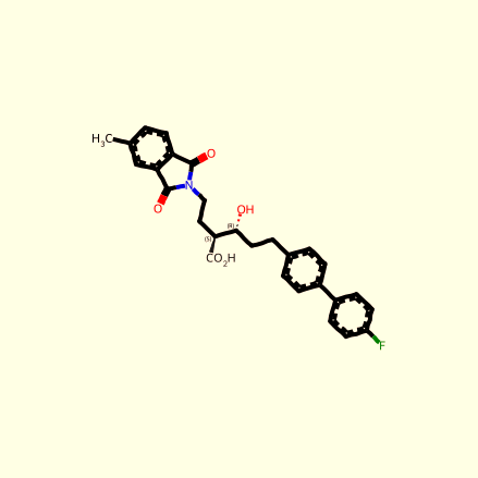 Cc1ccc2c(c1)C(=O)N(CC[C@H](C(=O)O)[C@H](O)CCc1ccc(-c3ccc(F)cc3)cc1)C2=O